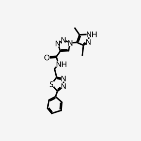 Cc1n[nH]c(C)c1-n1cc(C(=O)NCc2nnc(-c3ccccc3)s2)nn1